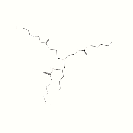 CCCCOC(=O)NCCN(CCNC(=O)OCCCC)CC(CCCO)NC(=O)OCCCC